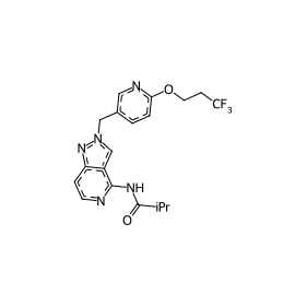 CC(C)C(=O)Nc1nccc2nn(Cc3ccc(OCCC(F)(F)F)nc3)cc12